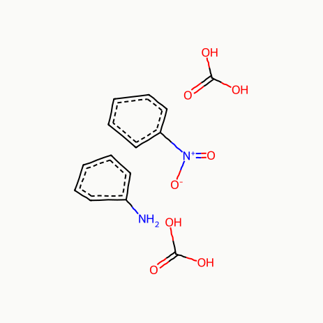 Nc1ccccc1.O=C(O)O.O=C(O)O.O=[N+]([O-])c1ccccc1